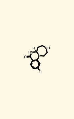 O=C1N[C@H]2CCNCCN2c2cc(Cl)ccc21